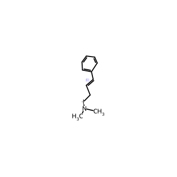 CN(C)[I]C/C=C/c1ccccc1